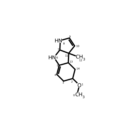 COC1CC=C2NC3NC=CC3(C)C2C1